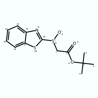 CC(C)(C)OC(=O)C[S+]([O-])c1nc2ccccc2s1